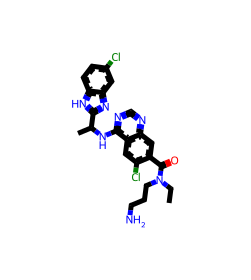 CCN(CCCN)C(=O)c1cc2ncnc(NC(C)c3nc4cc(Cl)ccc4[nH]3)c2cc1Cl